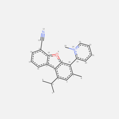 Cc1cc(C(C)C)c2c(oc3c(C#N)cccc32)c1-c1cccc[n+]1C